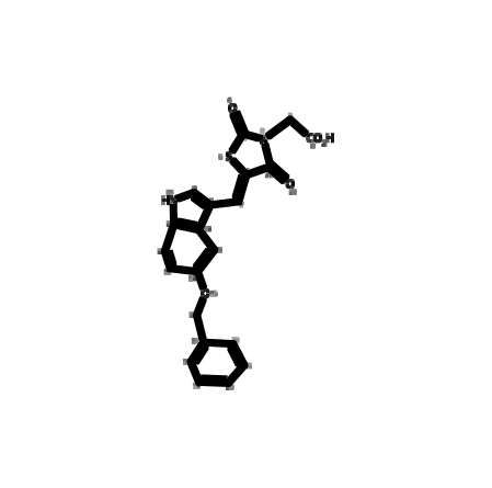 O=C(O)CN1C(=O)SC(=Cc2c[nH]c3ccc(OCc4ccccc4)cc23)C1=O